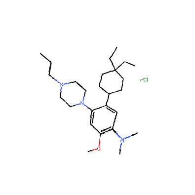 CCCN1CCN(c2cc(OC)c(N(C)C)cc2C2CCC(CC)(CC)CC2)CC1.Cl